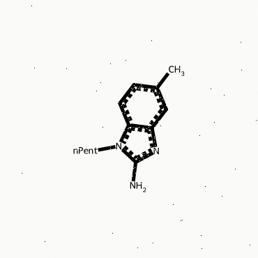 CCCCCn1c(N)nc2cc(C)ccc21